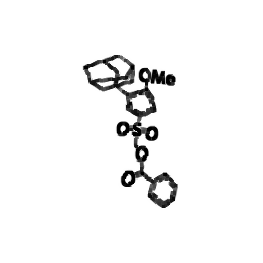 COc1ccc(S(=O)(=O)COC(=O)c2ccccc2)cc1C12CC3CC(CC(C3)C1)C2